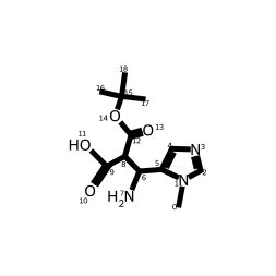 Cn1cncc1C(N)C(C(=O)O)C(=O)OC(C)(C)C